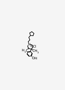 C[C@H]1CN(CCCC2CCCC2)CC[C@]1(C)c1cccc(O)c1.Cl